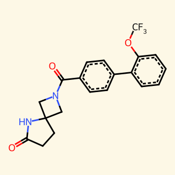 O=C1CCC2(CN(C(=O)c3ccc(-c4ccccc4OC(F)(F)F)cc3)C2)N1